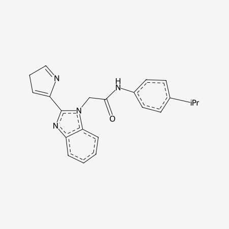 CC(C)c1ccc(NC(=O)Cn2c(C3=CCC=N3)nc3ccccc32)cc1